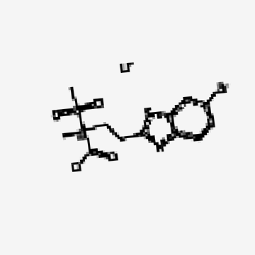 C[C@@](CCc1nc2ccc(Br)cc2s1)(C(=O)[O-])S(C)(=O)=O.[Li+]